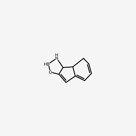 B1NC2C(=CC3=CC=CCC32)O1